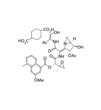 COc1cc(C(=O)O[C@H](C(=O)N/C(C(=O)N/C(=C\O)C(C)=O)=C2\[C@@H](OC(C)=O)[C@H](O)[C@@H]3CN23)[C@]2(C)CO2)c2cccc(C)c2c1.O=C(O)C1CCC(C(=O)O)CC1